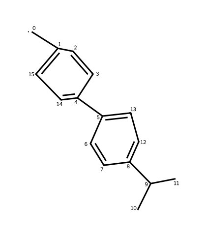 [CH2]c1ccc(-c2ccc(C(C)C)cc2)cc1